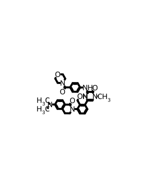 CN(C)c1ccc2c(c1)CCN(c1cccc(-c3cn(C)c(=O)c(Nc4ccc(C(=O)N5CCOCC5)cc4)n3)c1CO)C2=O